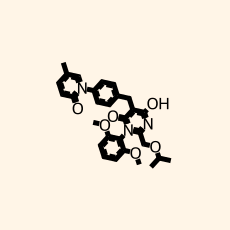 COc1cccc(OC)c1-n1c(COC(C)C)nc(O)c(Cc2ccc(-n3cc(C)ccc3=O)cc2)c1=O